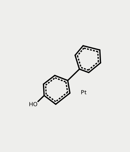 Oc1ccc(-c2ccccc2)cc1.[Pt]